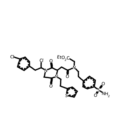 CCOC(=O)CN(CCc1ccc(S(N)(=O)=O)cc1)C(=O)CC1C(=O)N(C(Cl)Cc2ccc(Cl)cc2)CC(=O)N1CCc1cccs1